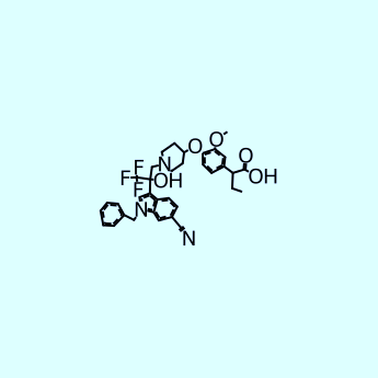 CCC(C(=O)O)c1ccc(OC2CCN(CC(O)(c3cn(Cc4ccccc4)c4cc(C#N)ccc34)C(F)(F)F)CC2)c(OC)c1